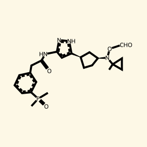 CC1(N(OC=O)[C@H]2CC[C@@H](c3cc(NC(=O)Cc4cccc(P(C)(C)=O)c4)n[nH]3)C2)CC1